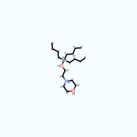 CCC[CH2][Sn]([CH2]CCC)([CH2]CCC)[O]CCN1CCOCC1